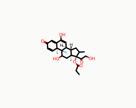 CCC(=O)O[C@]1(C(=O)CO)C(C)C[C@H]2[C@@H]3C=C(O)C4=CC(=O)C=C[C@]4(C)[C@@]3(F)C(O)C[C@@]21C